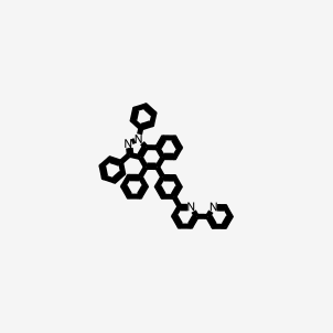 c1ccc(-c2nn(-c3ccccc3)c3c2c(-c2ccccc2)c(-c2ccc(-c4cccc(-c5ccccn5)n4)cc2)c2ccccc23)cc1